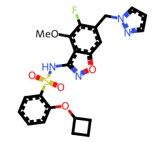 COc1c(F)c(Cn2cccn2)cc2onc(NS(=O)(=O)c3ccccc3OC3CCC3)c12